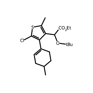 CCOC(=O)C(OC(C)(C)C)c1c(C)sc(Cl)c1C1=CCC(C)CC1